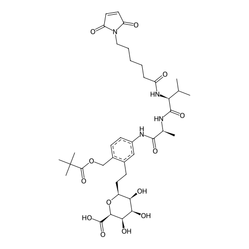 CC(C)[C@H](NC(=O)CCCCCN1C(=O)C=CC1=O)C(=O)N[C@@H](C)C(=O)Nc1ccc(COC(=O)C(C)(C)C)c(CC[C@@H]2O[C@H](C(=O)O)[C@H](O)[C@H](O)[C@@H]2O)c1